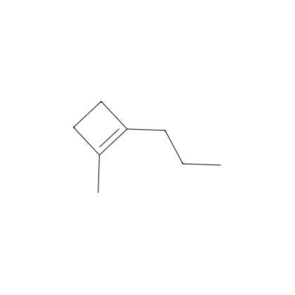 CCCC1=C(C)CC1